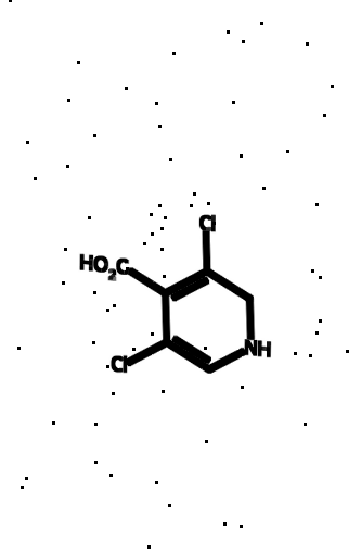 O=C(O)C1=C(Cl)CNC=C1Cl